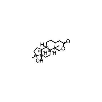 C[C@]12COC(=O)CC1CC[C@@H]1[C@@H]2CC[C@@]2(C)[C@H]1CC[C@@]2(C)O